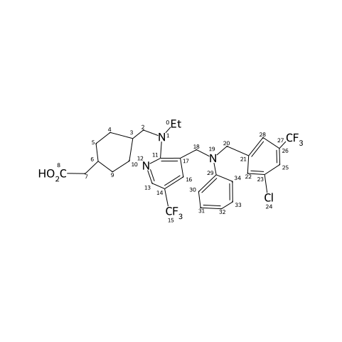 CCN(CC1CCC(CC(=O)O)CC1)c1ncc(C(F)(F)F)cc1CN(Cc1cc(Cl)cc(C(F)(F)F)c1)c1ccccc1